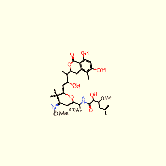 C=C(C)CC(OC)C(O)C(=O)NC(OC)C1C/C(=N\OC)C(C)(C)C(CC(O)C(C)C2Cc3c(C)c(O)cc(O)c3C(=O)O2)O1